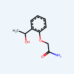 [CH2]C(O)c1ccccc1OCC(N)=O